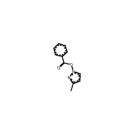 Cc1ccn(OC(=O)c2ccccc2)n1